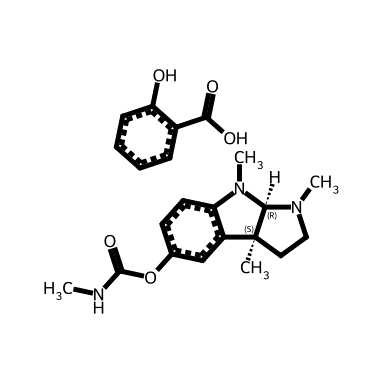 CNC(=O)Oc1ccc2c(c1)[C@]1(C)CCN(C)[C@@H]1N2C.O=C(O)c1ccccc1O